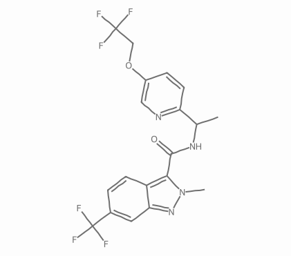 CC(NC(=O)c1c2ccc(C(F)(F)F)cc2nn1C)c1ccc(OCC(F)(F)F)cn1